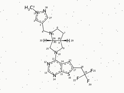 Cn1cc(CN2CC[C@@H]3CN(c4ncnc5sc(CC(F)(F)F)cc45)C[C@@H]32)cn1